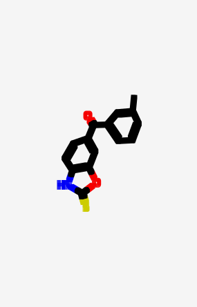 Cc1cccc(C(=O)c2ccc3[nH]c(=S)oc3c2)c1